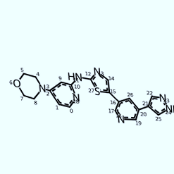 c1cc(N2CCOCC2)cc(Nc2ncc(-c3cncc(-c4cn[nH]c4)c3)s2)n1